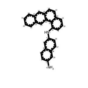 Nc1ccc2cc(Nc3cccc4ccc5cc6ccccc6cc5c34)ccc2c1